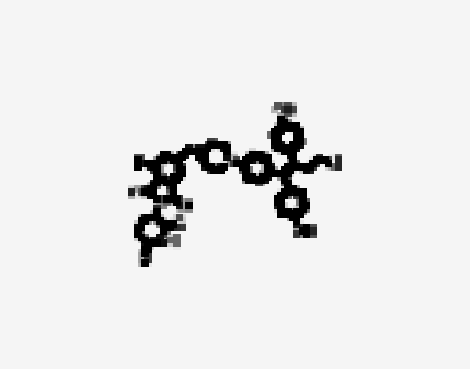 O=C1CCC(N2C(=O)c3cc(CN4CCN(c5ccc(C(=C(CCCl)c6ccc(O)cc6)c6ccc(O)cc6)cc5)CC4)cc(F)c3C2=O)C(=O)N1